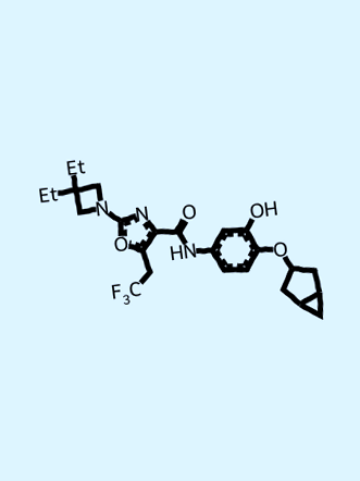 CCC1(CC)CN(c2nc(C(=O)Nc3ccc(OC4CC5CC5C4)c(O)c3)c(CC(F)(F)F)o2)C1